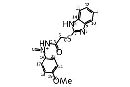 C=[N+](NC(=O)CSc1nc2ccccc2[nH]1)c1ccc(OC)cc1